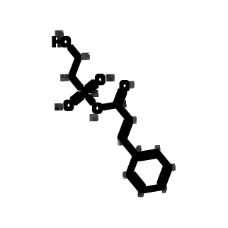 O=C(C=Cc1ccccc1)OS(=O)(=O)CCO